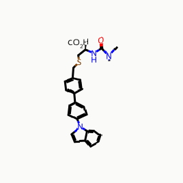 CN(C)C(=O)N[C@@H](CSCc1ccc(-c2ccc(-n3ccc4ccccc43)cc2)cc1)C(=O)O